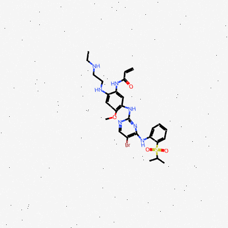 C=CC(=O)Nc1cc(Nc2ncc(Br)c(Nc3ccccc3S(=O)(=O)C(C)C)n2)c(OC)cc1NCCNCC